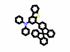 c1ccc(N(c2ccccc2)c2cc(-c3ccc4c(c3)C3(c5ccccc5-c5ccccc53)c3ccccc3-4)c3sc4ccccc4c3c2)cc1